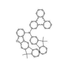 CC1(C)c2ccccc2-c2ccc(N(c3ccc4c5ccccc5c5ccccc5c4c3)c3cccc4oc5cc6c(cc5c34)-c3ccccc3C6(C)C)cc21